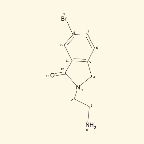 NCCN1Cc2ccc(Br)cc2C1=O